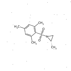 Cc1cc(C)c(S(=O)(=O)N2C[C@@H]2C)c(C)c1